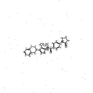 CCOC(=O)c1c(C2CCc3ccccc3C2)csc1NC(=O)c1ccc(N2CCCC2=O)cc1